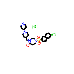 Cl.O=C1CCN(S(=O)(=O)c2ccc3cc(Cl)ccc3c2)CCN1CC1CCN(c2ccncc2)CC1